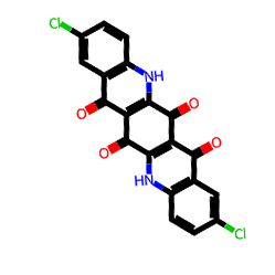 O=C1c2[nH]c3ccc(Cl)cc3c(=O)c2C(=O)c2[nH]c3ccc(Cl)cc3c(=O)c21